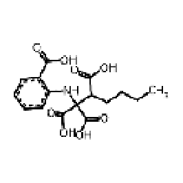 CCCCC(C(=O)O)C(Nc1ccccc1C(=O)O)(C(=O)O)C(=O)O